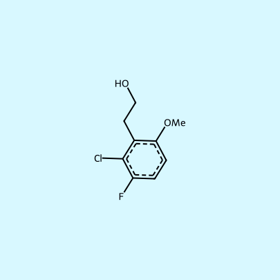 COc1ccc(F)c(Cl)c1CCO